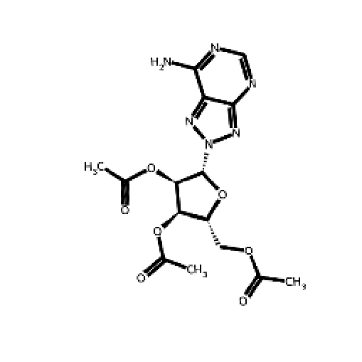 CC(=O)OC[C@H]1O[C@@H](n2nc3ncnc(N)c3n2)[C@H](OC(C)=O)[C@@H]1OC(C)=O